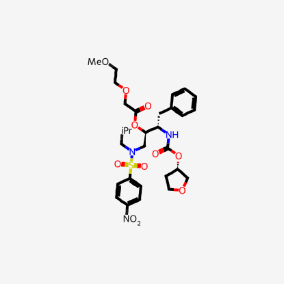 COCCOCC(=O)O[C@H](CN(CC(C)C)S(=O)(=O)c1ccc([N+](=O)[O-])cc1)[C@H](Cc1ccccc1)NC(=O)O[C@H]1CCOC1